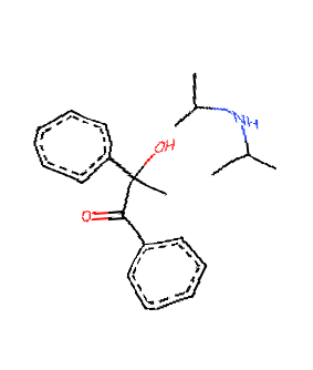 CC(C)NC(C)C.CC(O)(C(=O)c1ccccc1)c1ccccc1